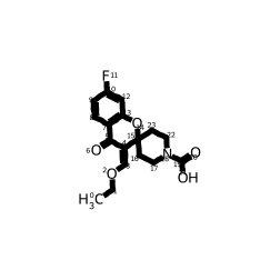 CCOC=C1C(=O)c2ccc(F)cc2OC12CCN(C(=O)O)CC2